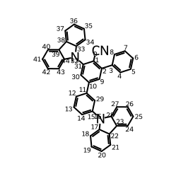 N#Cc1c(-c2ccccc2)cc(-c2cccc(-n3c4ccccc4c4ccccc43)c2)cc1-n1c2ccccc2c2ccccc21